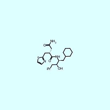 CC(C)C[C@H](O)[C@H](CC1CCCCC1)NC(=O)[C@@H](CC(N)=O)Cc1nccs1